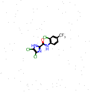 O=C(Nc1ccc(C(F)(F)F)cc1Cl)c1nc(Cl)c(Cl)[nH]1